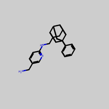 NCc1ccc(NCC23CC4CC(C2)CC(c2ccccc2)(C4)C3)nc1